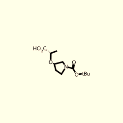 C[C@H](O[C@H]1CCN(C(=O)OC(C)(C)C)C1)C(=O)O